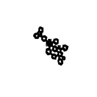 c1ccc(-c2nc(-c3ccc(-n4c5ccccc5c5ccccc54)cc3)nc(-c3cccc(-c4cccc(-c5c6c(cc7c(-c8ccccc8)nc8ccccc8c57)oc5ccccc56)c4)c3)n2)cc1